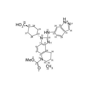 COC(=O)N1c2ccc3c(nc(Nc4ccc5cn[nH]c5c4)n3[C@H]3CC[C@H](C(=O)O)CC3)c2CC[C@@H]1C